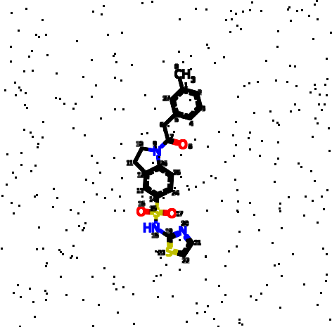 Cc1cccc(CC(=O)N2CCc3cc(S(=O)(=O)Nc4nccs4)ccc32)c1